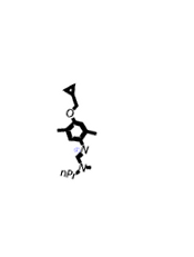 CCCN(C)/C=N/c1cc(C)c(OCC2CC2)cc1C